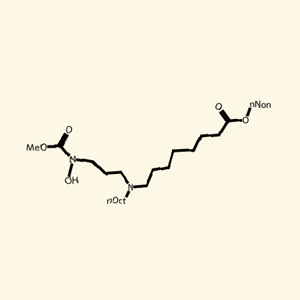 CCCCCCCCCOC(=O)CCCCCCCN(CCCCCCCC)CCCN(O)C(=O)OC